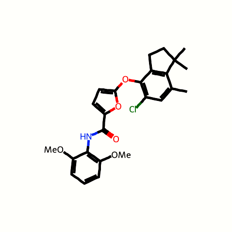 COc1cccc(OC)c1NC(=O)c1ccc(Oc2c(Cl)cc(C)c3c2CCC3(C)C)o1